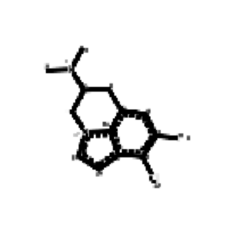 CN(C)C1Cc2cc(F)c(Cl)c3ccn(c23)C1